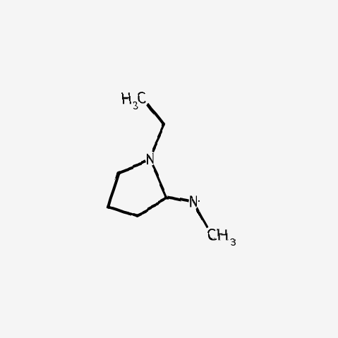 CCN1CCCC1[N]C